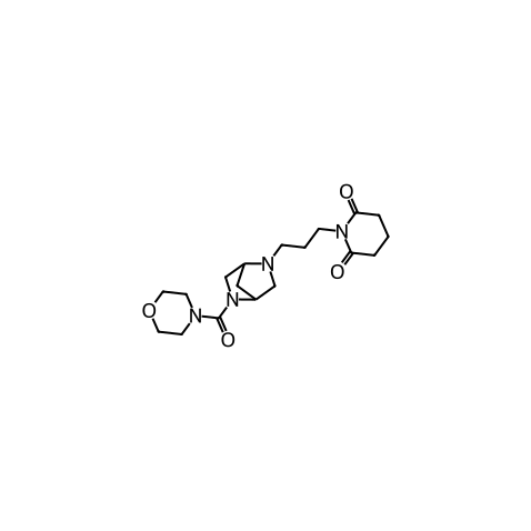 O=C1CCCC(=O)N1CCCN1CC2CC1CN2C(=O)N1CCOCC1